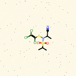 CC(C#N)N(SC(Cl)=C(Cl)Cl)S(=O)(=O)C(C)C